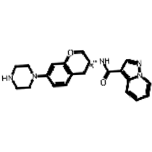 O=C(N[C@H]1COc2cc(N3CCNCC3)ccc2C1)c1cnn2ccccc12